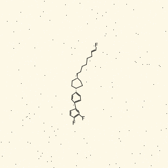 F/C=C/CCCCCC[C@H]1CC[C@H](c2ccc(-c3ccc(F)c(F)c3)cc2)CC1